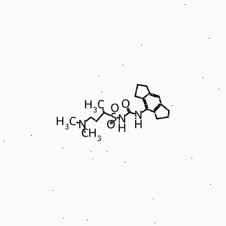 CC(CCN(C)C)S(=O)(=O)NC(=O)Nc1c2c(cc3c1CCC3)CCC2